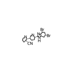 N#Cc1cccnc1-c1ccc(-c2nc3c(Br)cc(Br)cc3[nH]2)nc1